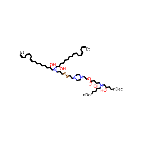 CC/C=C\C/C=C\C/C=C\CCCCCCC(O)CN(CCCSSCCN1CCN(CCOC(=O)CCCN(CC(O)CCCCCCCCCCCC)CC(O)CCCCCCCCCCCC)CC1)CC(O)CCCCCC/C=C\C/C=C\C/C=C\CC